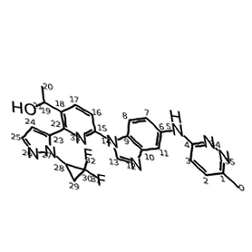 Cc1ccc(Nc2ccc3c(c2)ncn3-c2ccc(C(C)O)c(-c3ccnn3C3CC3(F)F)n2)nn1